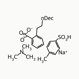 CCCCCCCCCCCCc1ccccc1S(=O)(=O)[O-].CN(C)C.Cc1ccc(S(=O)(=O)O)cc1.[Na+]